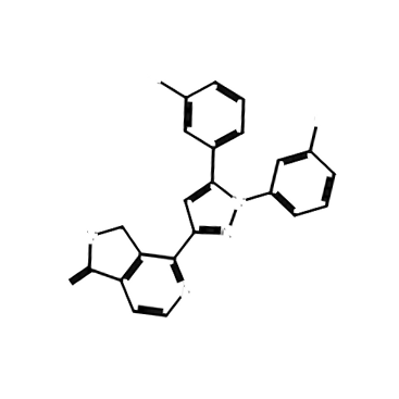 O=C1NCc2c1ccnc2-c1cc(-c2cccc(Cl)c2)n(-c2cccc(C(F)(F)F)c2)n1